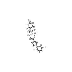 Cc1ccc(C)c(-c2csc(N3CCC(S(=O)(=O)c4ccc(F)cc4)CC3)n2)c1